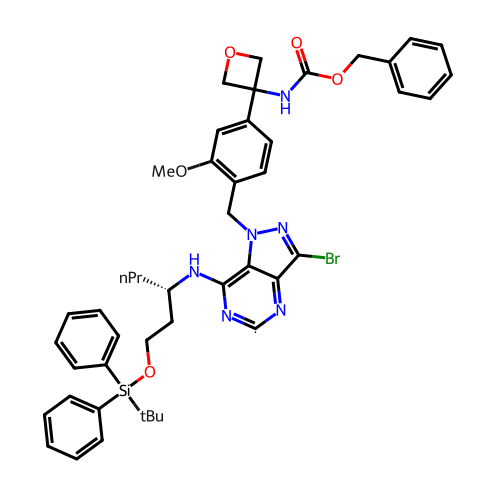 CCC[C@@H](CCO[Si](c1ccccc1)(c1ccccc1)C(C)(C)C)Nc1n[c]nc2c(Br)nn(Cc3ccc(C4(NC(=O)OCc5ccccc5)COC4)cc3OC)c12